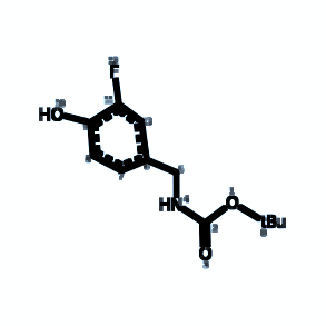 CC(C)(C)OC(=O)NCc1ccc(O)c(F)c1